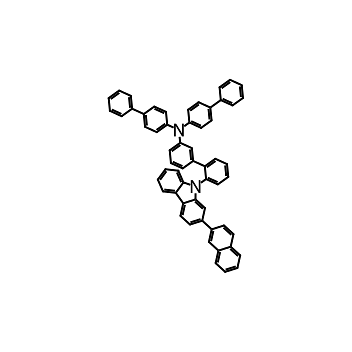 c1ccc(-c2ccc(N(c3ccc(-c4ccccc4)cc3)c3cccc(-c4ccccc4-n4c5ccccc5c5ccc(-c6ccc7ccccc7c6)cc54)c3)cc2)cc1